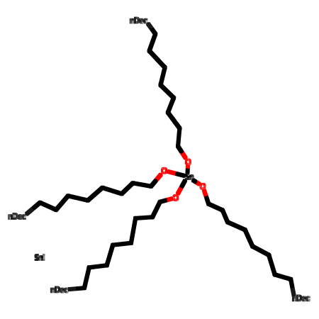 CCCCCCCCCCCCCCCCCC[O][Sn]([O]CCCCCCCCCCCCCCCCCC)([O]CCCCCCCCCCCCCCCCCC)[O]CCCCCCCCCCCCCCCCCC.[Sn]